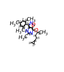 Cc1cc(C)c(-c2noc3c(OC(C)CCC4CC4)nc(C)nc23)c(C)c1